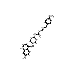 O=C(CCNCc1ccc([N+](=O)[O-])cc1)N[C@H]1CC[C@@H](Nc2ccnc3cc(Cl)ccc23)CC1